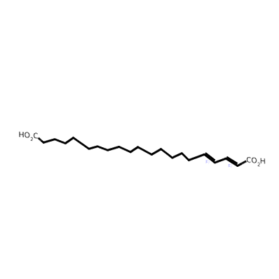 O=C(O)/C=C/C=C/CCCCCCCCCCCCCCCC(=O)O